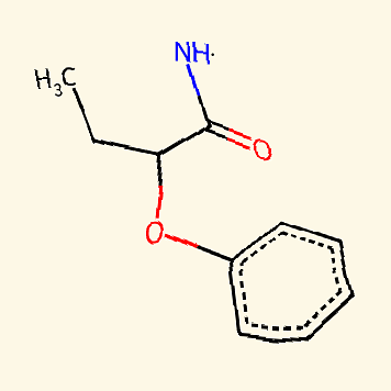 CCC(Oc1ccccc1)C([NH])=O